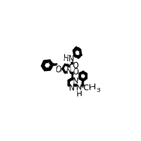 C[C@H](Nc1nccc(C(=O)N2C[C@H](OCc3ccccc3)C[C@H]2C(=O)Nc2ccccc2)n1)c1ccccc1